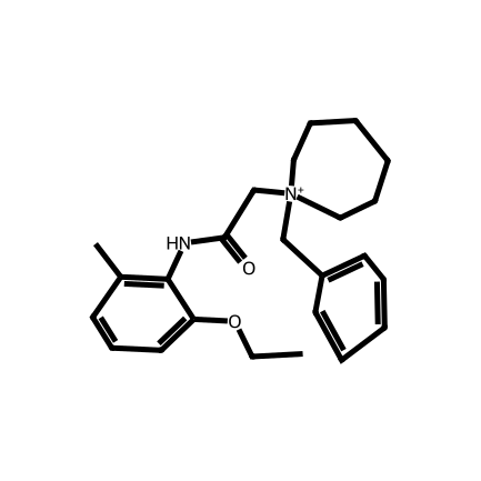 CCOc1cccc(C)c1NC(=O)C[N+]1(Cc2ccccc2)CCCCCC1